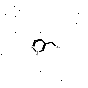 CCC1=CNN=C=C1